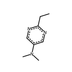 CCc1ncc(N(C)C)cn1